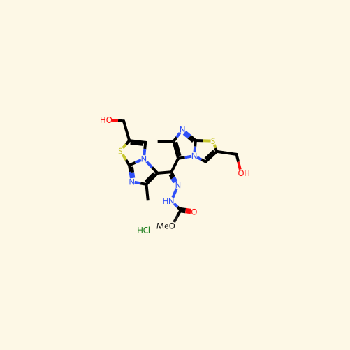 COC(=O)NN=C(c1c(C)nc2sc(CO)cn12)c1c(C)nc2sc(CO)cn12.Cl